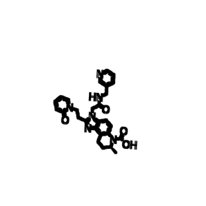 C[C@H]1CCc2c(ccc3c2nc(CCn2ccccc2=O)n3CC(=O)NCc2cccnc2)N1C(=O)O